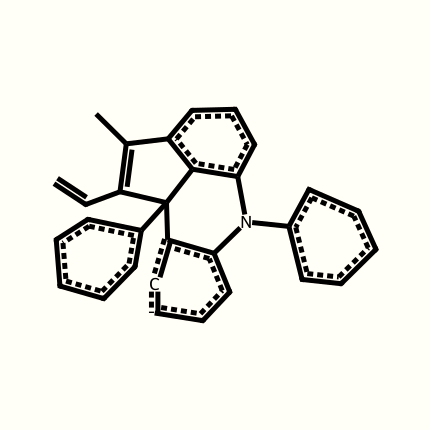 C=CC1=C(C)c2cccc3c2C1(c1ccccc1)c1ccccc1N3c1ccccc1